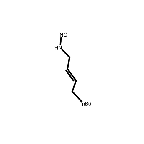 CCCCCC=CCNN=O